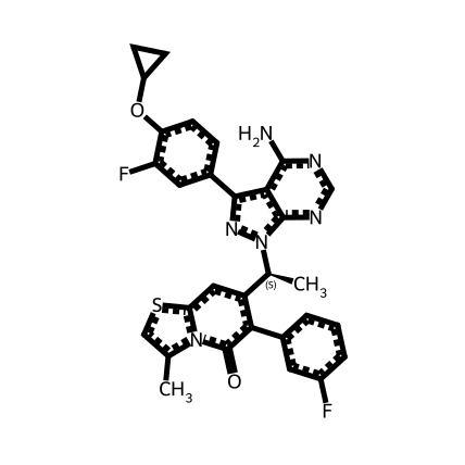 Cc1csc2cc([C@H](C)n3nc(-c4ccc(OC5CC5)c(F)c4)c4c(N)ncnc43)c(-c3cccc(F)c3)c(=O)n12